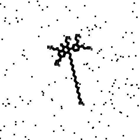 CCCCCCCCCCCCCCCCCCn1c(-c2ccc(OCC)c(OCC)c2)c(OCC)c(=O)c2c(OCC)cc(OCC)cc21